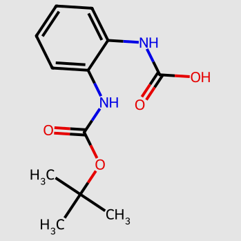 CC(C)(C)OC(=O)Nc1ccccc1NC(=O)O